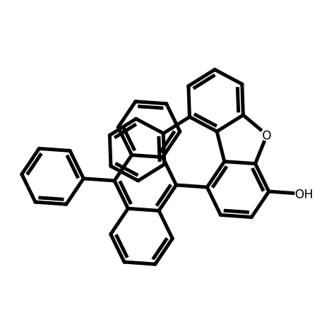 Oc1ccc(-c2c3ccccc3c(-c3ccccc3)c3ccccc23)c2c1oc1cccc(-c3ccccc3)c12